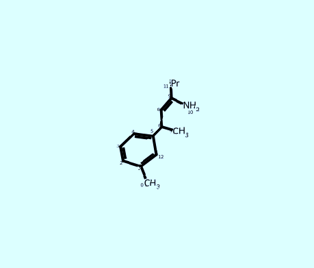 Cc1cccc(C(C)/C=C(\N)C(C)C)c1